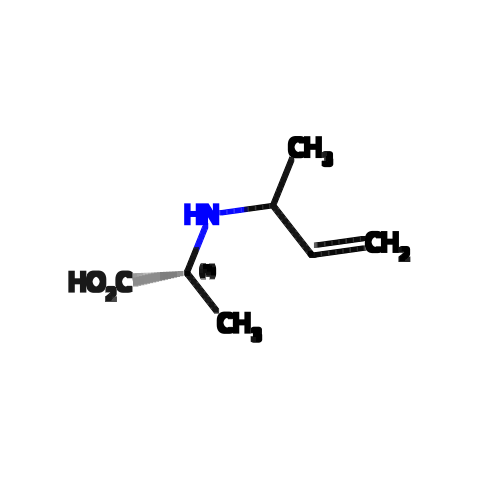 C=CC(C)N[C@H](C)C(=O)O